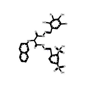 O=C(N/N=C/c1ccc(S(=O)(=O)O)cc1S(=O)(=O)O)C(Nc1ccc2ccccc2c1)C(=O)N/N=C/c1cc(Br)c(O)c(Br)c1O